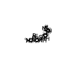 CN(C)C1CCN(c2ccc(NC(=O)Nc3ccc(-c4cncc5c4cnn5C)cc3)cc2C(F)(F)F)CC1